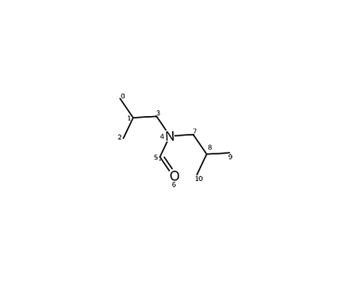 CC(C)CN([C]=O)CC(C)C